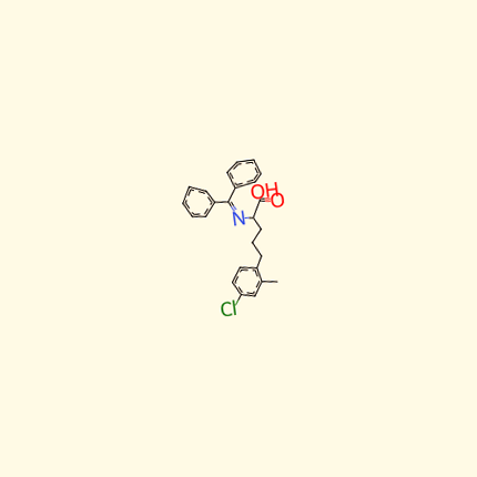 Cc1cc(Cl)ccc1CCCC(N=C(c1ccccc1)c1ccccc1)C(=O)O